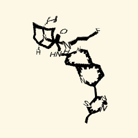 Cc1nnc(-c2ccc3cnc(NC(=O)N4[C@@H]5CC[C@H]4C[C@@H](NCCF)C5)cc3n2)s1